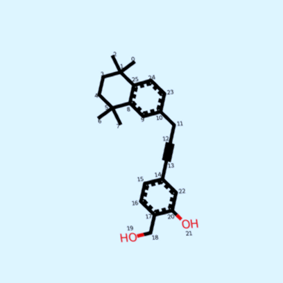 CC1(C)CCC(C)(C)c2cc(CC#Cc3ccc(CO)c(O)c3)ccc21